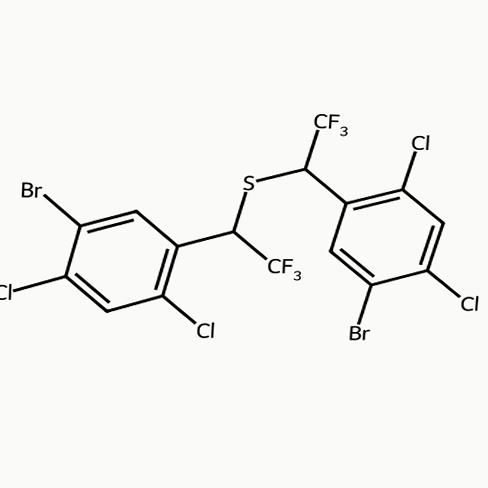 FC(F)(F)C(SC(c1cc(Br)c(Cl)cc1Cl)C(F)(F)F)c1cc(Br)c(Cl)cc1Cl